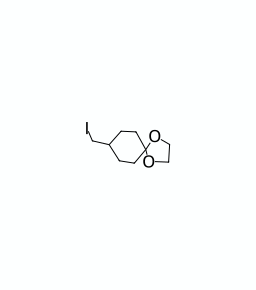 ICC1CCC2(CC1)OCCO2